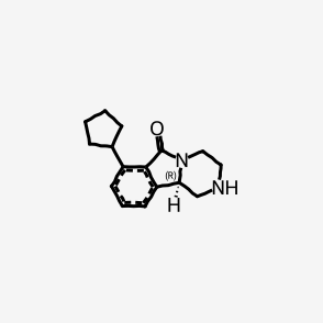 O=C1c2c(C3CCCC3)cccc2[C@@H]2CNCCN12